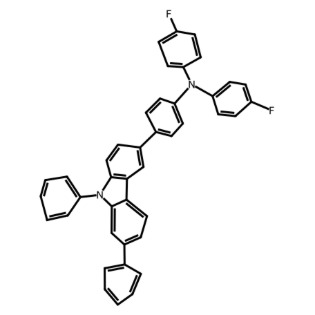 Fc1ccc(N(c2ccc(F)cc2)c2ccc(-c3ccc4c(c3)c3ccc(-c5ccccc5)cc3n4-c3ccccc3)cc2)cc1